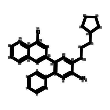 Nc1nc(-c2ccccc2)c(-c2cc(Cl)c3ncccc3c2)nc1SCCC1CCCC1